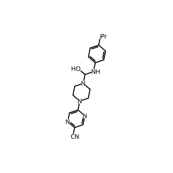 CC(C)c1ccc(NC(O)N2CCN(c3cnc(C#N)cn3)CC2)cc1